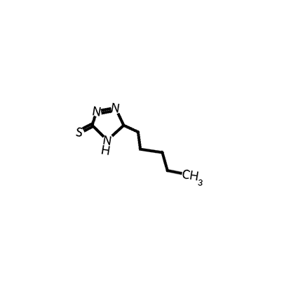 CCCCCC1N=NC(=S)N1